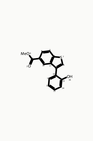 COC(=O)c1ccc2scc(-c3ccccc3O)c2c1